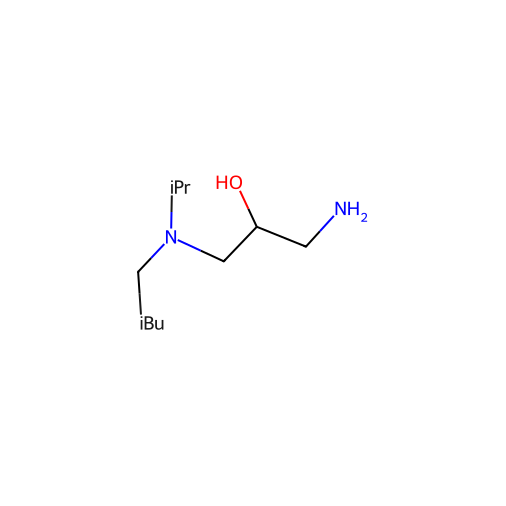 CCC(C)CN(CC(O)CN)C(C)C